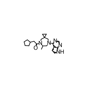 CC1CN(c2ncnc3[nH]ccc23)CC2(CC2)CN1C(=O)CC1CCCC1